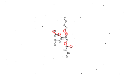 CCCCOOC(COC(=O)CCC)C(CCC)OC=O